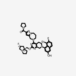 CCc1c(F)ccc2cc(O)cc(N3CCc4c(nc(OC[C@@]56CCCN5C[C@H](F)C6)nc4N4CCCn5nc(C(=O)N6CCCC6)cc5C4)C3)c12